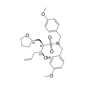 C=CC[C@H](O)[C@@H](C[C@H]1CCCO1)S(=O)(=O)N(Cc1ccc(OC)cc1)Cc1ccc(OC)cc1